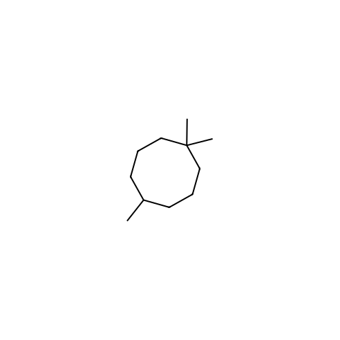 CC1CCCC(C)(C)CCC1